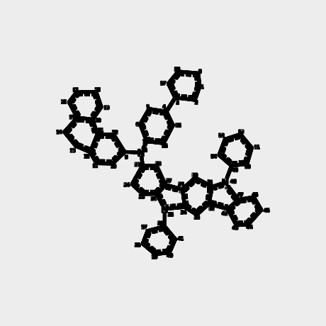 c1ccc(-c2ccc(N(c3ccc4ccc5ccccc5c4c3)c3ccc4c(c3)c3cc5c(cc3n4-c3ccccc3)c3ccccc3n5-c3ccccc3)cc2)cc1